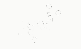 CC[C@H](C)[C@@H]([C@@H](CC(=O)N1CCC[C@H]1[C@H](OC)[C@@H](C)C(=O)N[C@@H](Cc1ccccc1)c1nnc(-c2ccccc2)o1)OC)N(C)C(=O)[C@@H](NC(=O)[C@H]1N[C@@H]2CC[C@H]1C2)C(C)C